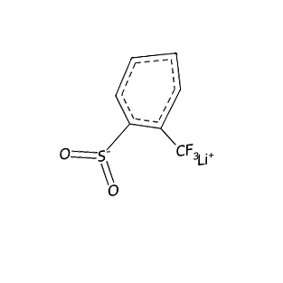 O=[S-](=O)c1ccccc1C(F)(F)F.[Li+]